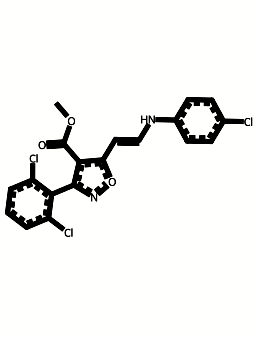 COC(=O)c1c(-c2c(Cl)cccc2Cl)noc1/C=C/Nc1ccc(Cl)cc1